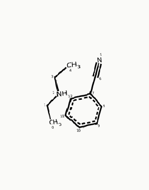 CCNCC.N#Cc1ccccc1